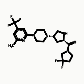 Cc1cc(C(F)(F)F)cc(N2CCN([C@@H]3CN[C@H](C(=O)N4CCC(F)(F)C4)C3)CC2)n1